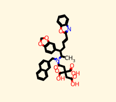 CC(C(CC=Cc1nc2ccccc2o1)c1ccc2c(c1)OCO2)N(Cc1ccc2ccccc2c1)C(=O)CC(CC(=O)O)(C(=O)O)C(=O)O